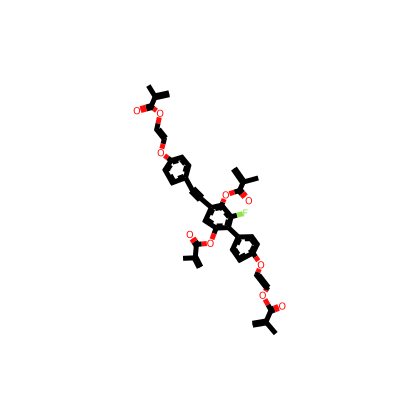 C=C(C)C(=O)O/C=C/Oc1ccc(C#Cc2cc(OC(=O)C(=C)C)c(-c3ccc(O/C=C/OC(=O)C(=C)C)cc3)c(F)c2OC(=O)C(=C)C)cc1